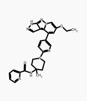 CCOc1cc(-c2ccc(N3CCC(C)(NC(=O)c4ccccn4)CC3)nc2)c2c3cn[nH]c3nn2c1